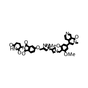 COc1cc(-c2cn(C)c(=O)c3cnccc23)cc(OC)c1CN1CC(n2cc(COc3ccc4c(c3)C(=O)N(C3CCC(=O)NC3=O)C4=O)nn2)C1